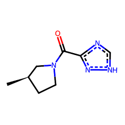 C[C@@H]1CCN(C(=O)c2nc[nH]n2)C1